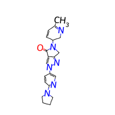 CC1=NCC(N2Cc3nn(-c4ccc(N5CCCC5)nc4)cc3C2=O)C=C1